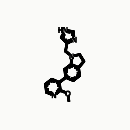 COc1ncccc1-c1ccc2c(c1)N(Cc1c[nH]cn1)CC2